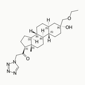 CCOC[C@@]1(O)CC[C@H]2[C@@H](CC[C@@H]3[C@@H]2CC[C@]2(C)[C@@H](C(=O)Cn4cnnn4)CC[C@@H]32)C1